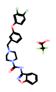 O=C(Nc1noc2ccccc12)N1CCN(Cc2cccc(Oc3ccc(Cl)c(Cl)c3)c2)CC1.O=C(O)C(F)(F)F